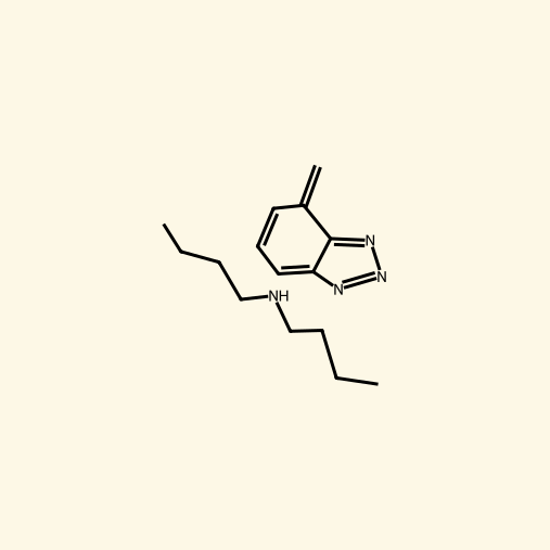 C=c1cccc2c1=NN=N2.CCCCNCCCC